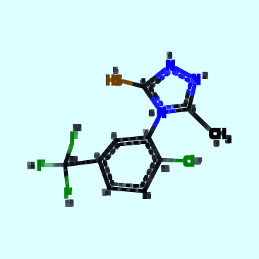 Cc1nnc(S)n1-c1cc(C(F)(F)F)ccc1Cl